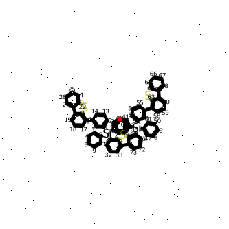 c1ccc([Si](c2ccccc2)(c2cccc(-c3cccc4c3sc3ccccc34)c2)c2cccc3c2sc2c([Si](c4ccccc4)(c4ccccc4)c4cccc(-c5cccc6c5sc5ccccc56)c4)cccc23)cc1